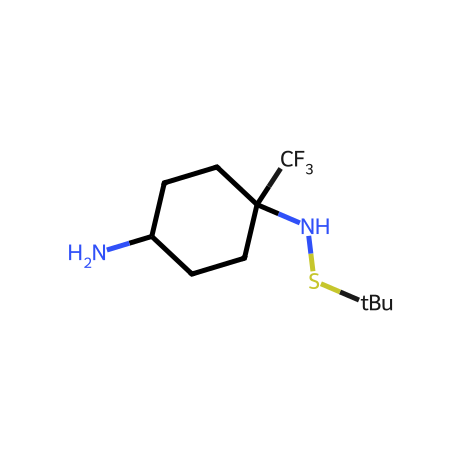 CC(C)(C)SNC1(C(F)(F)F)CCC(N)CC1